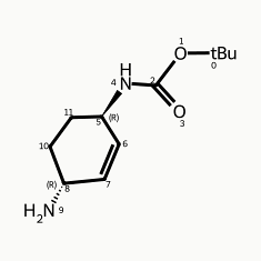 CC(C)(C)OC(=O)N[C@H]1C=C[C@H](N)CC1